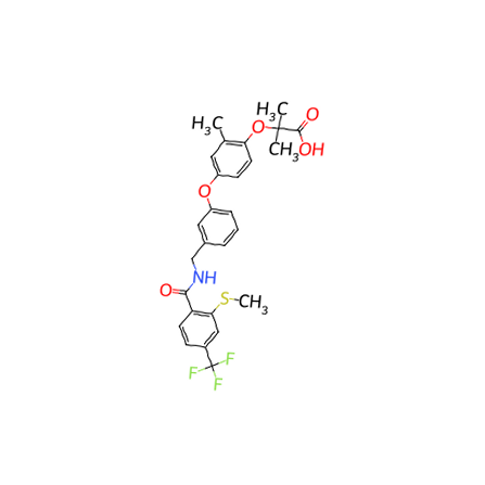 CSc1cc(C(F)(F)F)ccc1C(=O)NCc1cccc(Oc2ccc(OC(C)(C)C(=O)O)c(C)c2)c1